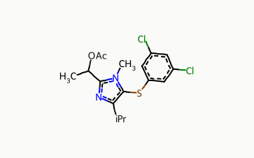 CC(=O)OC(C)c1nc(C(C)C)c(Sc2cc(Cl)cc(Cl)c2)n1C